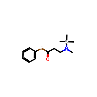 CN(CCC(=O)Sc1ccccc1)[Si](C)(C)C